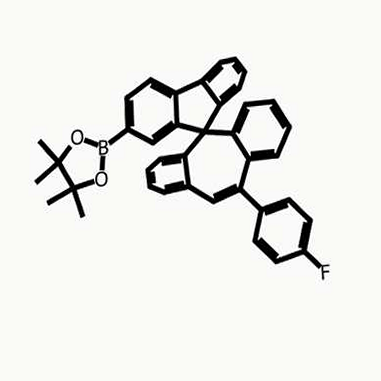 CC1(C)OB(c2ccc3c(c2)C2(c4ccccc4C=C(c4ccc(F)cc4)c4ccccc42)c2ccccc2-3)OC1(C)C